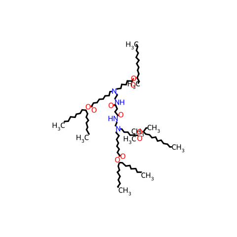 CCCCCCCCCCC(CC)OC(=O)CCCCCN(CCCCCCCC(=O)OC(CCCCCCCC)CCCCCCCC)CCNC(=O)CCC(=O)NCCN(CCCCCCCC(=O)OC(CCCCCCCC)CCCCCCCC)CCCCC(C)(C)C(=O)OC(CC)CCCCCCCCCC